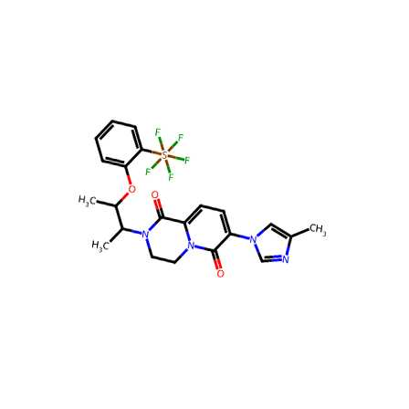 Cc1cn(-c2ccc3n(c2=O)CCN(C(C)C(C)Oc2ccccc2S(F)(F)(F)(F)F)C3=O)cn1